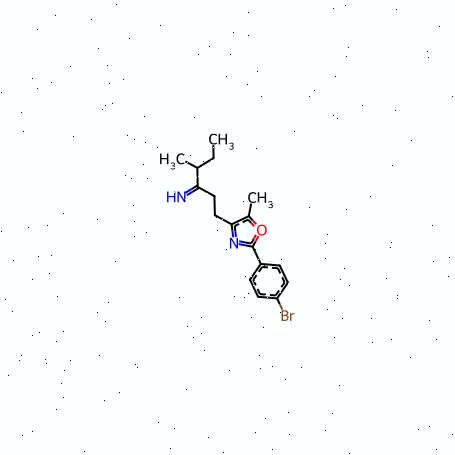 CCC(C)C(=N)CCc1nc(-c2ccc(Br)cc2)oc1C